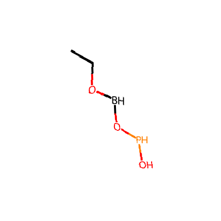 CCOBOPO